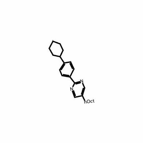 CCCCCCCCc1cnc(-c2ccc(C3CC[CH]CC3)cc2)nc1